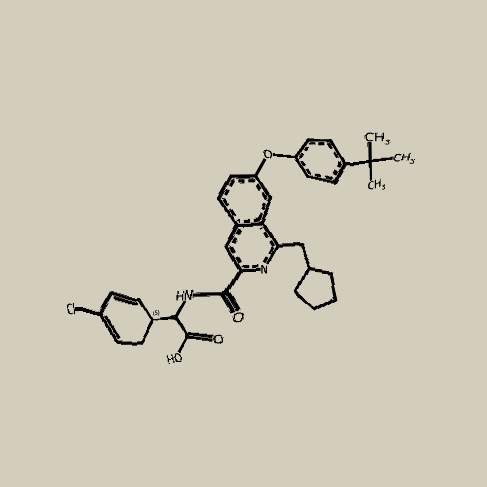 CC(C)(C)c1ccc(Oc2ccc3cc(C(=O)NC(C(=O)O)[C@@H]4C=CC(Cl)=CC4)nc(CC4CCCC4)c3c2)cc1